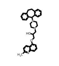 Cc1ccc2c(OCC(O)CN3CCN(C4c5ccccc5CCc5ccccc54)CC3)cccc2n1